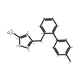 Cc1ccc(-c2ccccc2Cc2noc(C(Cl)(Cl)Cl)n2)cc1